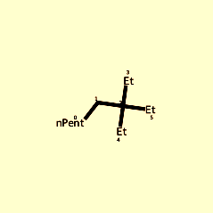 CCC[CH]CCC(CC)(CC)CC